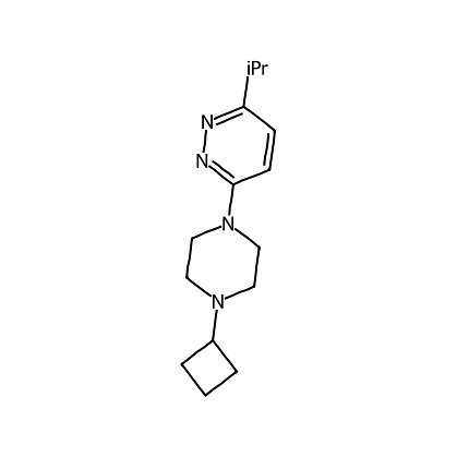 CC(C)c1ccc(N2CCN(C3CCC3)CC2)nn1